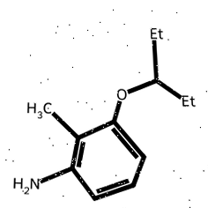 CCC(CC)Oc1cccc(N)c1C